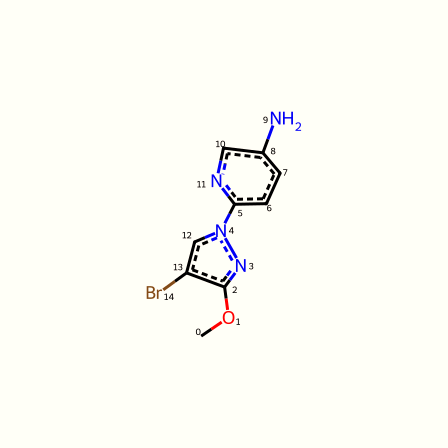 COc1nn(-c2ccc(N)cn2)cc1Br